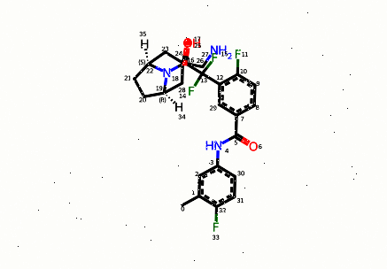 Cc1cc(NC(=O)c2ccc(F)c(C(F)(F)C(=O)N3[C@@H]4CC[C@H]3CC(O)(CN)C4)c2)ccc1F